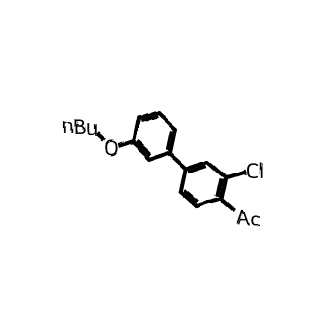 CCCCOc1cccc(-c2ccc(C(C)=O)c(Cl)c2)c1